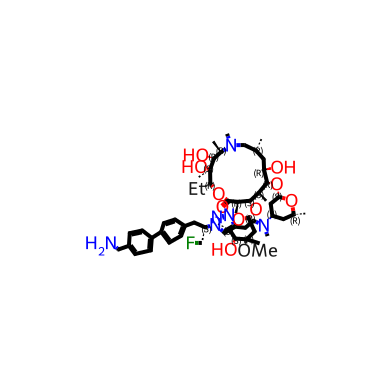 CC[C@H]1OC(=O)[C@H](C)[C@@H](O[C@H]2C[C@@](C)(OC)[C@@H](O)[C@H](C)O2)[C@H](C)[C@@H](O[C@H]2C[C@@H](N(C)CCc3cn([C@H](CF)Cc4ccc(-c5ccc(CN)cc5)cc4)nn3)C[C@@H](C)O2)[C@H](O)C[C@@H](C)CN(C)[C@H](C)[C@@H](O)[C@]1(C)O